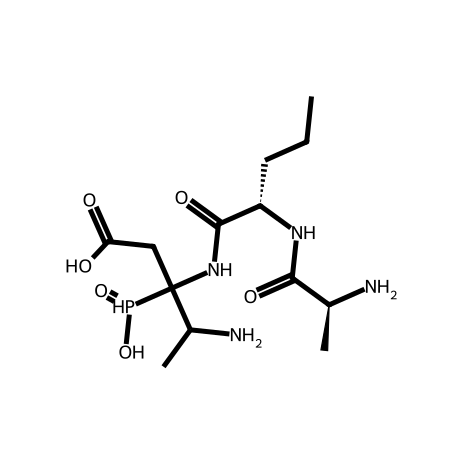 CCC[C@H](NC(=O)[C@H](C)N)C(=O)NC(CC(=O)O)(C(C)N)[PH](=O)O